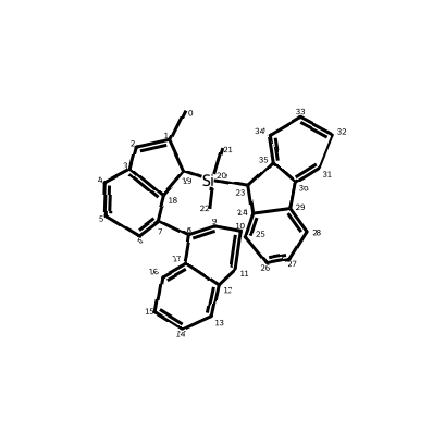 CC1=Cc2cccc(-c3cccc4ccccc34)c2C1[Si](C)(C)C1c2ccccc2-c2ccccc21